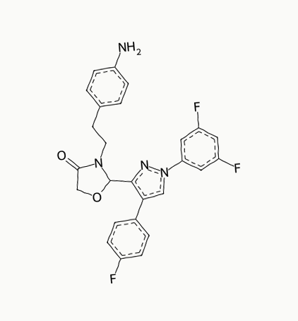 Nc1ccc(CCN2C(=O)COC2c2nn(-c3cc(F)cc(F)c3)cc2-c2ccc(F)cc2)cc1